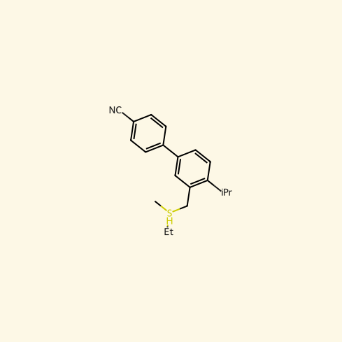 CC[SH](C)Cc1cc(-c2ccc(C#N)cc2)ccc1C(C)C